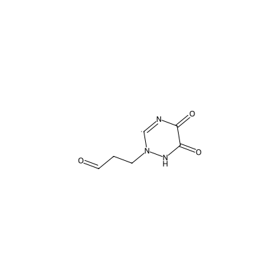 O=CCCn1[c]nc(=O)c(=O)[nH]1